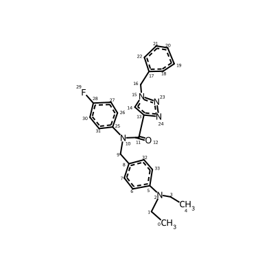 CCN(CC)c1ccc(CN(C(=O)c2cn(Cc3ccccc3)nn2)c2ccc(F)cc2)cc1